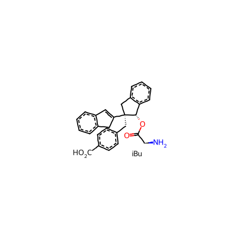 CC[C@H](C)[C@H](N)C(=O)O[C@H]1c2ccccc2C[C@]1(Cc1ccc(C(=O)O)cc1)C1=Cc2ccccc2C1